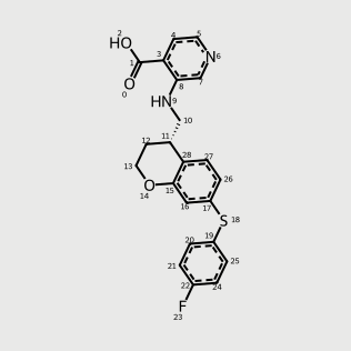 O=C(O)c1ccncc1NC[C@H]1CCOc2cc(Sc3ccc(F)cc3)ccc21